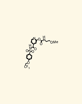 COCCNC(=O)Oc1cc(C(=O)NS(=O)(=O)c2ccc(OCC(F)(F)F)cc2)ccn1